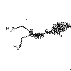 CCCCCCCC/C=C\CCCCCCCC(=O)OC[C@H](COP(=O)(O)OCCNC(=O)CCCCC(=O)NCCCO[C@@H]1OC(CO)[C@@H](O[C@@H]2OC(CO)[C@H](O)C(O[C@H]3OC(CO)[C@H](O)[C@H](O)C3O)[C@@H]2N=O)C(O)[C@@H]1NC(C)=O)OC(=O)CCCCCCC/C=C\CCCCCCCC